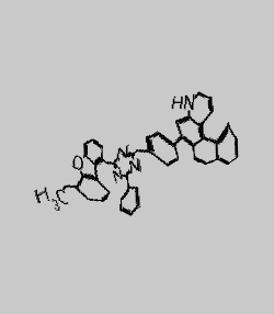 CCC1CC=Cc2c1oc1cccc(-c3nc(-c4ccccc4)nc(-c4ccc(-c5cc6c(c7c5ccc5ccccc57)C=CCN6)cc4)n3)c21